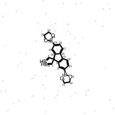 B=CC1(C=B)c2cc(B3OCCO3)ccc2-c2ccc(B3OCCO3)cc21